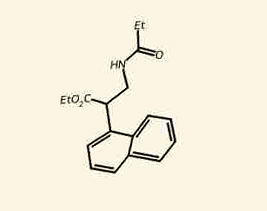 CCOC(=O)C(CNC(=O)CC)c1cccc2ccccc12